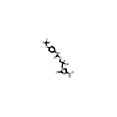 C[C@](O)(COC(=O)Nc1ccc(OC(F)(F)F)cc1)Cn1cc([N+](=O)[O-])nc1Cl